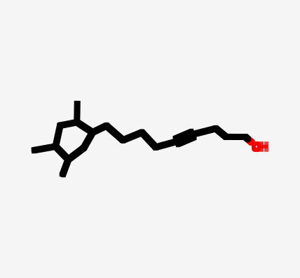 CC1CC(C)C(CCCCC#CCCCO)CC1C